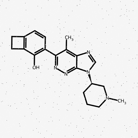 Cc1c(-c2ccc3c(c2O)CC3)nnc2c1ncn2[C@@H]1CCCN(C)C1